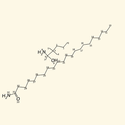 CCCC(C)(C)C(C)(N)O.CCCCCCCCCCCCCCCCCCCCCC(N)=O